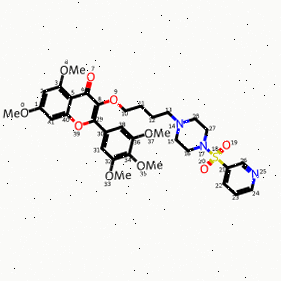 COc1cc(OC)c2c(=O)c(OCCCCN3CCN(S(=O)(=O)c4cccnc4)CC3)c(-c3cc(OC)c(OC)c(OC)c3)oc2c1